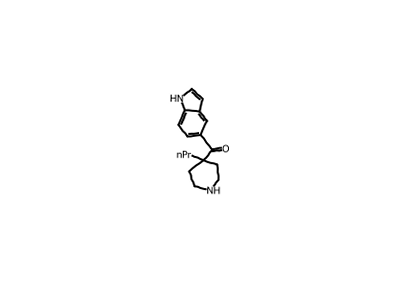 CCCC1(C(=O)c2ccc3[nH]ccc3c2)CCNCC1